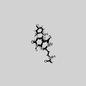 CC(=O)NCCc1nc2c(c(Nc3ccc(I)cc3F)cc(=O)n2C)c(=O)[nH]1